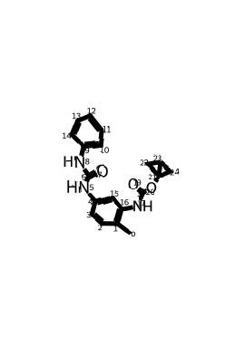 Cc1ccc(NC(=O)Nc2ccccc2)cc1NC(=O)OC12CC1C2